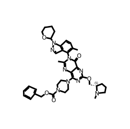 Cc1ccc2c(cnn2C2CCCCO2)c1-n1c(C)nc2c(N3CCN(C(=O)OCc4ccccc4)CC3)nc(OC[C@@H]3CCCN3C)nc2c1=O